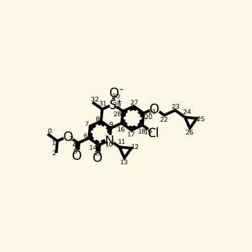 CC(C)OC(=O)c1cc2c(n(C3CC3)c1=O)-c1cc(Cl)c(OCCC3CC3)cc1[S+]([O-])C2C